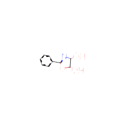 OC1N=C(c2ccccc2)OC1O